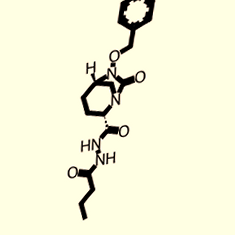 CCCC(=O)NNC(=O)[C@@H]1CC[C@H]2CN1C(=O)N2OCc1ccccc1